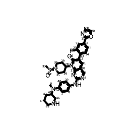 CN(c1ccc(Nc2ncc3cc(-c4ccc(-c5nnco5)cc4F)c(=O)n(C4CCN([S+](C)[O-])CC4)c3n2)cc1)C1CCCNC1